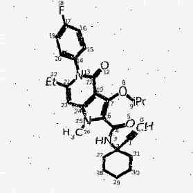 C#CC1(NC(=O)c2c(OC(C)C)c3c(=O)n(-c4ccc(F)cc4)c(CC)cc3n2C)CCCCC1